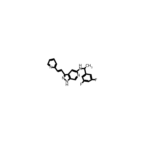 CC(Nc1cc2c(/C=C/c3ccccn3)n[nH]c2cn1)c1cc(F)cc(F)c1